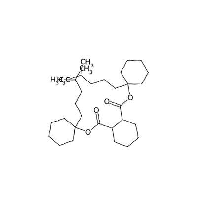 CC(C)CCCC1(OC(=O)C2CCCCC2C(=O)OC2(CCCC(C)C)CCCCC2)CCCCC1